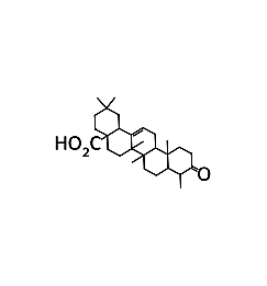 CC1C(=O)CCC2(C)C1CCC1(C)C2CC=C2C3CC(C)(C)CCC3(C(=O)O)CCC21C